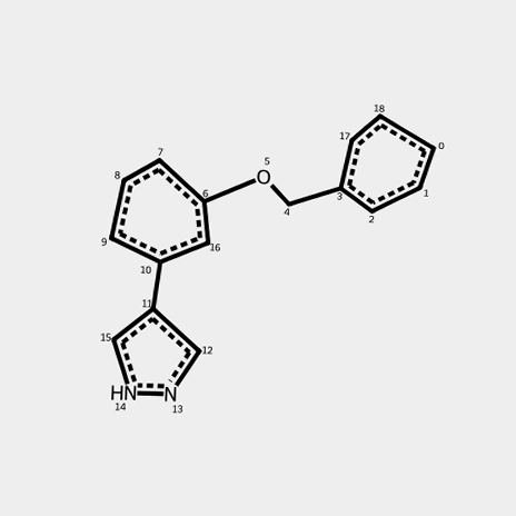 c1ccc(COc2cccc(-c3cn[nH]c3)c2)cc1